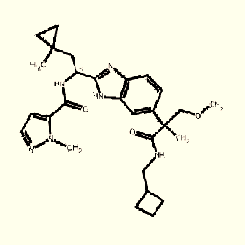 COCC(C)(C(=O)NCC1CCC1)c1ccc2nc([C@H](CC3(C)CC3)NC(=O)c3ccnn3C)[nH]c2c1